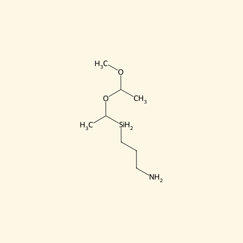 COC(C)OC(C)[SiH2]CCCN